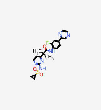 CC(C)(C(=O)Nc1ccc(-c2cnccn2)cc1F)c1ccnc(NS(=O)(=O)C2CC2)n1